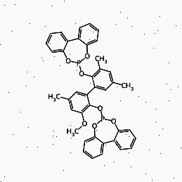 COc1cc(C)cc(-c2cc(C)cc(C)c2Op2oc3ccccc3c3ccccc3o2)c1Op1oc2ccccc2c2ccccc2o1